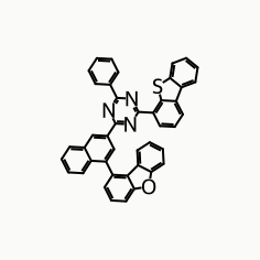 c1ccc(-c2nc(-c3cc(-c4cccc5oc6ccccc6c45)c4ccccc4c3)nc(-c3cccc4c3sc3ccccc34)n2)cc1